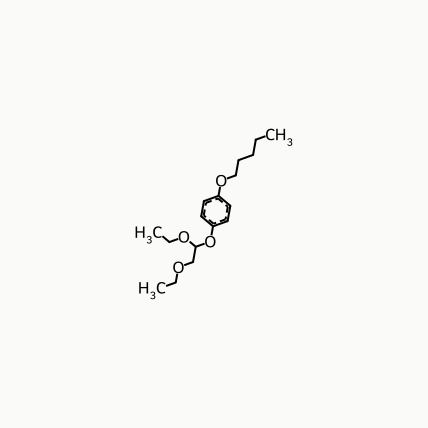 CCCCCOc1ccc(OC(COCC)OCC)cc1